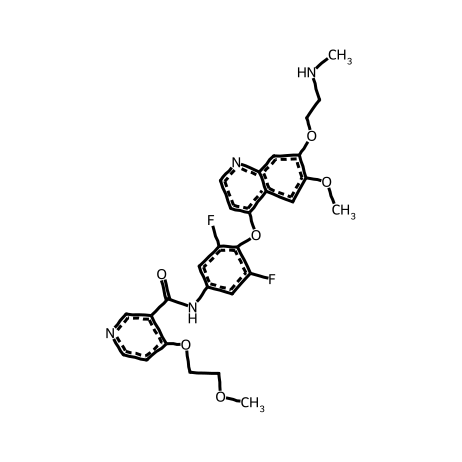 CNCCOc1cc2nccc(Oc3c(F)cc(NC(=O)c4cnccc4OCCOC)cc3F)c2cc1OC